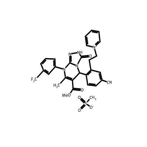 COC(=O)C1=C(C)N(c2cccc(C(F)(F)F)c2)c2n[nH]c(=O)n2C1c1ccc(C#N)cc1CC[n+]1ccccc1.CS(=O)(=O)[O-]